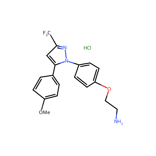 COc1ccc(-c2cc(C(F)(F)F)nn2-c2ccc(OCCN)cc2)cc1.Cl